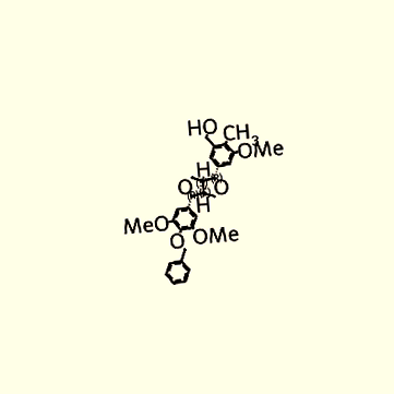 COc1cc([C@@H]2OC[C@@H]3[C@H]2CO[C@H]3c2cc(OC)c(OCc3ccccc3)c(OC)c2)cc(CO)c1C